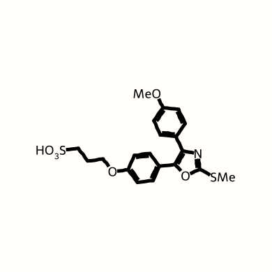 COc1ccc(-c2nc(SC)oc2-c2ccc(OCCCS(=O)(=O)O)cc2)cc1